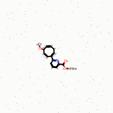 CCCCCCOC(=O)C1=C=C=CC(C2=C/CC#CC(OCC)/C=C\2)=N1